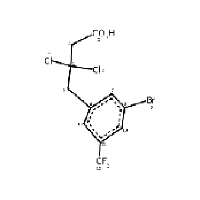 O=C(O)CC(Cl)(Cl)Cc1cc(Br)cc(C(F)(F)F)c1